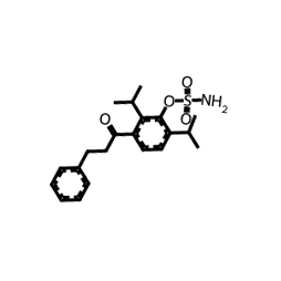 CC(C)c1ccc(C(=O)CCc2ccccc2)c(C(C)C)c1OS(N)(=O)=O